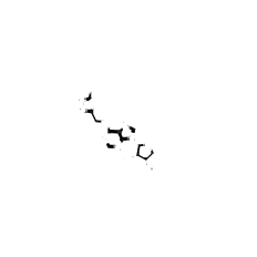 Cc1nnc(CSc2ncnc3c2ncn3[C@@H]2O[C@H](C)[C@@H](O)[C@H]2O)o1